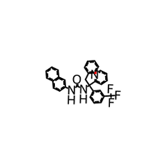 O=C(Nc1ccc2ccccc2c1)NC(Cc1ccccc1)(c1cccc(C(F)(F)F)c1)c1ccccn1